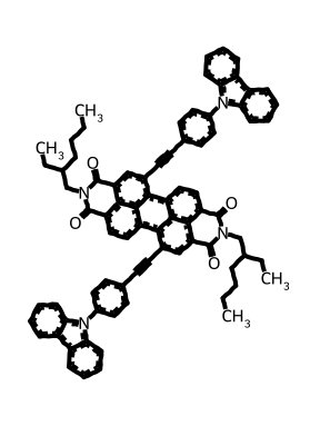 CCCCC(CC)CN1C(=O)c2ccc3c4c(C#Cc5ccc(-n6c7ccccc7c7ccccc76)cc5)cc5c6c(ccc(c7c(C#Cc8ccc(-n9c%10ccccc%10c%10ccccc%109)cc8)cc(c2c37)C1=O)c64)C(=O)N(CC(CC)CCCC)C5=O